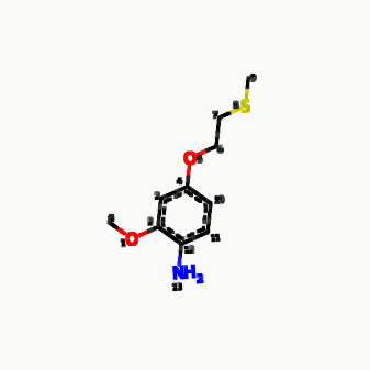 COc1cc(OCCSC)ccc1N